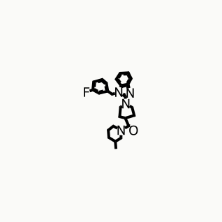 CC1CCCN(C(=O)C2CCN(c3nc4ccccc4n3Cc3cccc(F)c3)CC2)C1